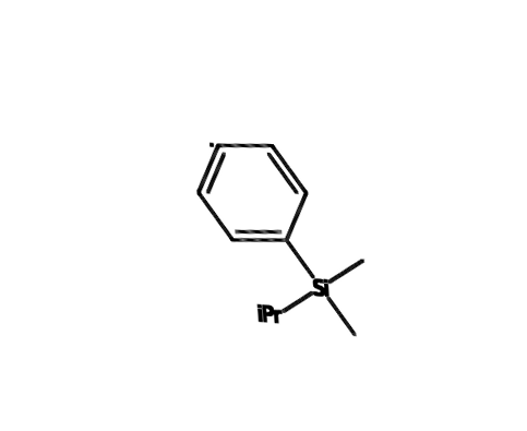 CC(C)[Si](C)(C)c1cc[c]cc1